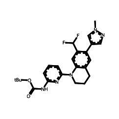 Cn1cc(-c2cc3c(cc2C(F)F)N(c2cccc(NC(=O)OC(C)(C)C)n2)CCC3)cn1